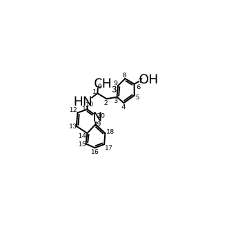 CC(Cc1ccc(O)cc1)Nc1ccc2ccccc2n1